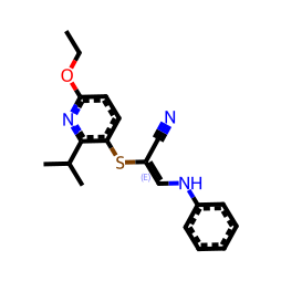 CCOc1ccc(S/C(C#N)=C/Nc2ccccc2)c(C(C)C)n1